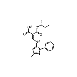 CCC(C)OC(=O)C(=CNc1cc(C)nn1-c1ccccc1)C(=O)O